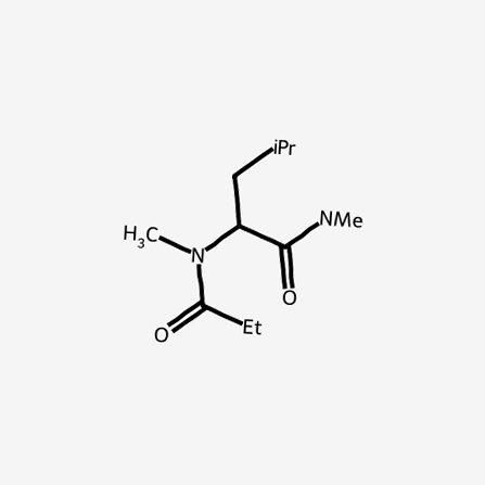 CCC(=O)N(C)C(CC(C)C)C(=O)NC